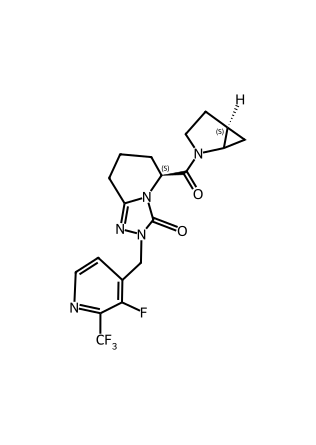 O=C([C@@H]1CCCc2nn(Cc3ccnc(C(F)(F)F)c3F)c(=O)n21)N1CC[C@H]2CC21